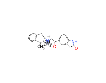 CC1(C)[C@H]2Cc3ccccc3[C@]1(C)CCN2CC(=O)C1=CCC=C2NC(=O)CC2=C1